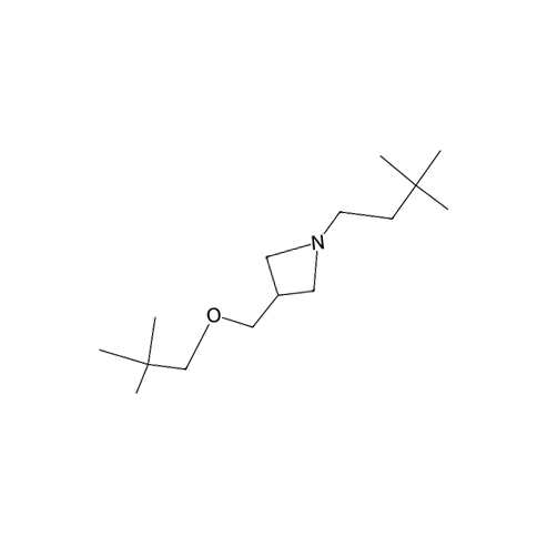 CC(C)(C)CCN1CC(COCC(C)(C)C)C1